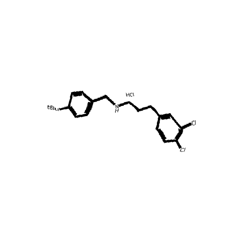 CC(C)(C)c1ccc(CNCCCc2ccc(Cl)c(Cl)c2)cc1.Cl